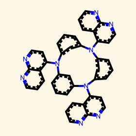 c1cc2cc(c1)N(c1ccnc3ncccc13)c1cccc(c1)N(c1ccnc3ncccc13)c1cccc(c1)N2c1ccnc2ncccc12